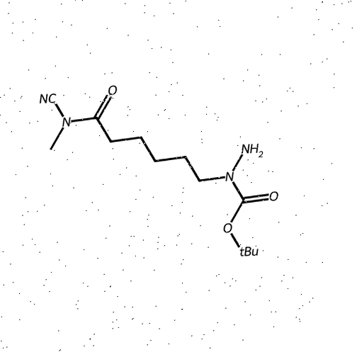 CN(C#N)C(=O)CCCCCN(N)C(=O)OC(C)(C)C